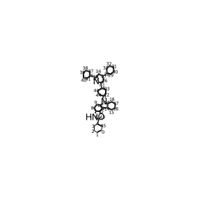 C1=CCCC(C2Nc3ccc4c(c3O2)c2ccccc2n4-c2ccc(-c3cc(-c4ccccc4)cc(-c4ccccc4)n3)cc2)=C1